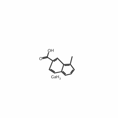 Cc1cccc2ccc(C(=O)O)cc12.[GaH3]